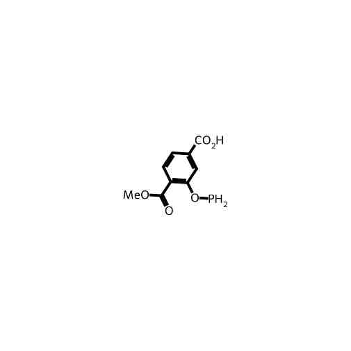 COC(=O)c1ccc(C(=O)O)cc1OP